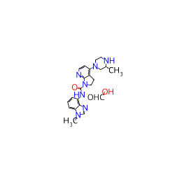 C[C@H]1CN(c2ccnc3c2CCN3C(=O)Nc2cccc3c2ncn3C)CCN1.O=CO